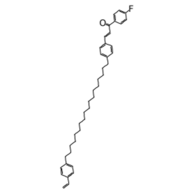 C=Cc1ccc(CCCCCCCCCCCCCCCCCCc2ccc(C=CC(=O)c3ccc(F)cc3)cc2)cc1